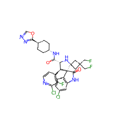 O=C(N[C@H]1CC[C@H](c2nnco2)CC1)[C@@H]1NC2(CC(CF)(CF)C2)[C@@]2(C(=O)Nc3cc(Cl)ccc32)[C@H]1c1ccnc(Cl)c1F